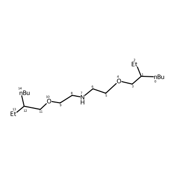 CCCCC(CC)COCCNCCOCC(CC)CCCC